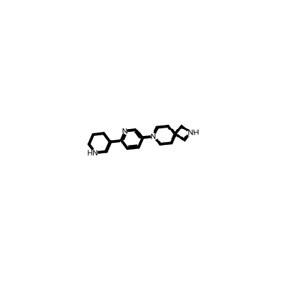 c1cc(C2CCCNC2)ncc1N1CCC2(CC1)CNC2